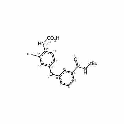 CC(C)(C)NC(=O)c1cccc(Oc2ccc(NC(=O)O)c(F)c2)c1